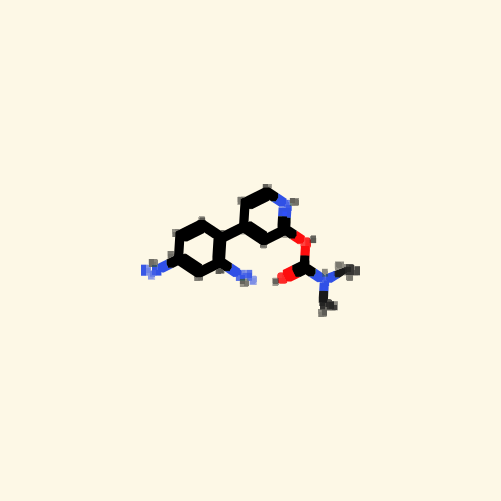 CC[C@H](C)N(C(=O)Oc1cc(-c2ccc(N)cc2N)ccn1)C(C)(C)C